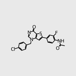 CC(=O)Nc1ccc(-c2cc3c(s2)c(=O)ncn3Cc2ccc(Cl)cc2)cc1F